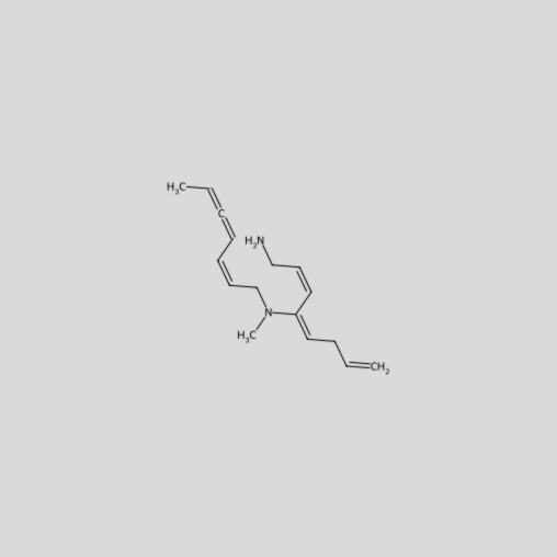 C=CC/C=C(\C=C/CN)N(C)C/C=C\C=C=CC